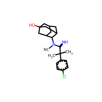 CC(C)(C(=N)N(C#N)C1C2CC3CC1CC(O)(C3)C2)c1ccc(Cl)cc1